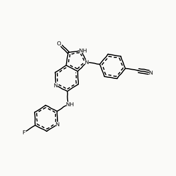 N#Cc1ccc(-n2[nH]c(=O)c3cnc(Nc4ccc(F)cn4)cc32)cc1